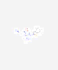 CC(C)NC(=S)NC(Cc1csc2ccccc12)C(=O)NCCC#N